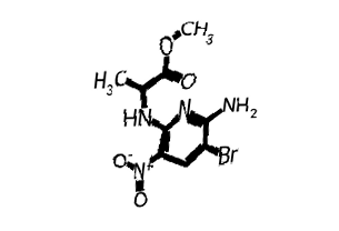 COC(=O)C(C)Nc1nc(N)c(Br)cc1[N+](=O)[O-]